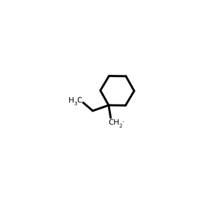 [CH2]C1(CC)CCCCC1